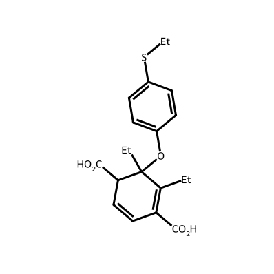 CCSc1ccc(OC2(CC)C(CC)=C(C(=O)O)C=CC2C(=O)O)cc1